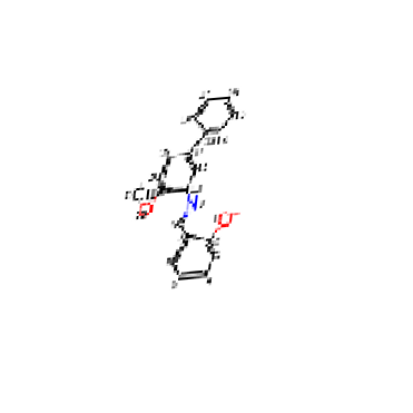 [Cu+2].[O-]c1ccccc1C=Nc1cc(-c2ccccc2)ccc1[O-]